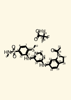 CNS(=O)(=O)c1ccc(SC)c(Nc2cc(Nc3ccc4c(c3)N(C(C)=O)CC4)ncn2)c1.O=C(O)C(F)(F)F